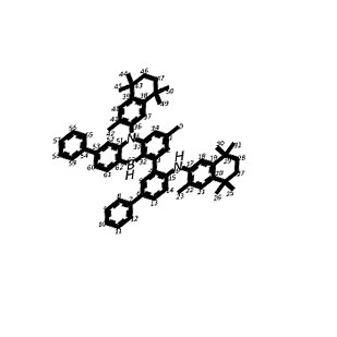 Cc1cc(-c2cc(-c3ccccc3)ccc2Nc2cc3c(cc2C)C(C)(C)CCC3(C)C)c2c(c1)N(c1cc3c(cc1C)C(C)(C)CCC3(C)C)c1cc(-c3ccccc3)ccc1B2